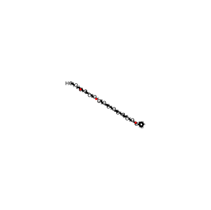 OCCOCCOCCOCCOCCOCCOCCOCCOCCOCCOCCOCCOCCOCCOc1ccccc1